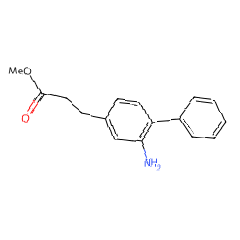 COC(=O)CCc1ccc(-c2ccccc2)c(N)c1